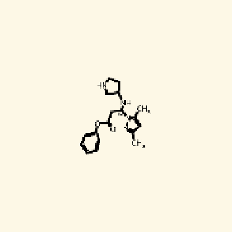 Cc1cc(C)n([C@@H](CC(=O)Oc2ccccc2)NC2CCNC2)n1